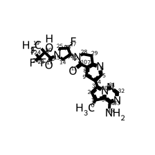 Cc1cc(-c2cnc3c(c2)C(=O)N([C@@H]2CN(C(=O)C(C)(O)C(F)(F)F)C[C@@H]2F)CC3)n2ncnc(N)c12